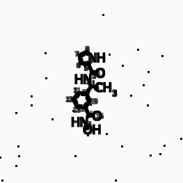 CC(NC(=O)c1ccc[nH]1)c1cccc(C(=O)NO)c1